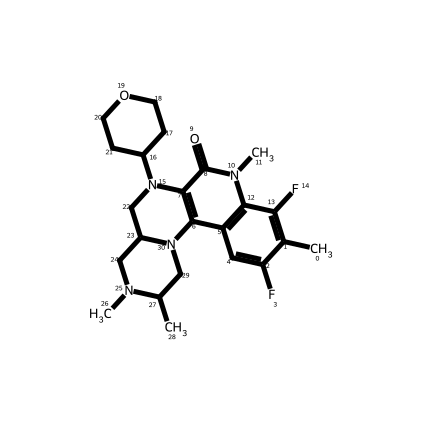 Cc1c(F)cc2c3c(c(=O)n(C)c2c1F)N(C1CCOCC1)CC1CN(C)C(C)CN31